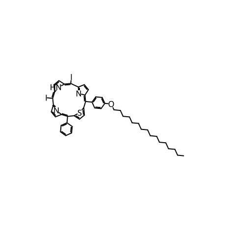 CCCCCCCCCCCCCCCCOc1ccc(-c2c3nc(c(I)c4ccc([nH]4)c(I)c4nc(c(-c5ccccc5)c5ccc2s5)C=C4)C=C3)cc1